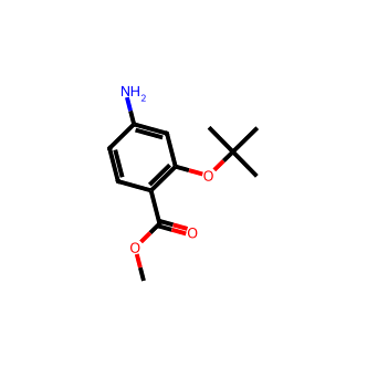 COC(=O)c1ccc(N)cc1OC(C)(C)C